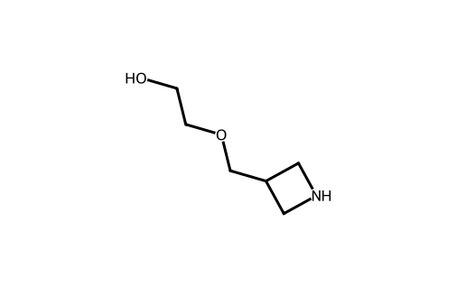 OCCOCC1CNC1